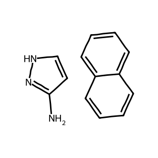 Nc1cc[nH]n1.c1ccc2ccccc2c1